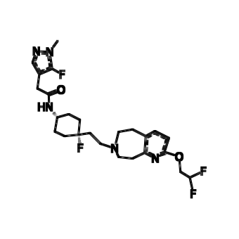 Cn1ncc(CC(=O)N[C@H]2CC[C@](F)(CCN3CCc4ccc(OCC(F)F)nc4CC3)CC2)c1F